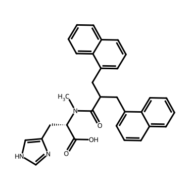 CN(C(=O)C(Cc1cccc2ccccc12)Cc1cccc2ccccc12)[C@@H](Cc1c[nH]cn1)C(=O)O